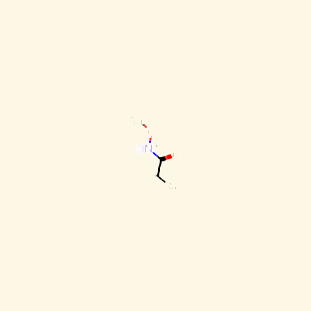 CC(=O)CC(=O)NOC(C)(C)C